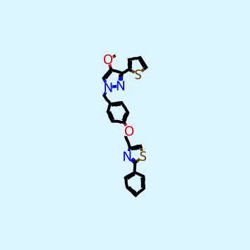 COc1cn(Cc2ccc(OCc3csc(-c4ccccc4)n3)cc2)nc1-c1cccs1